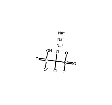 O=P([O-])([O-])C(Cl)(Cl)P(=O)([O-])O.[Na+].[Na+].[Na+]